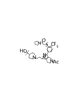 CC(=O)N1CCc2c(c(-c3ccc(C(F)(F)F)c(SCC(=O)N4CCCC4)c3)nn2CCCN2CCC(C(C)(C)O)CC2)C1